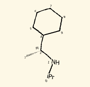 CC(C)N[C@H](C)C1CCCCC1